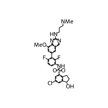 CNCCCNc1ncc2cc(-c3c(F)ccc(NS(=O)(=O)c4cc(Cl)cc5c4CC[C@H]5O)c3F)cc(OC)c2n1